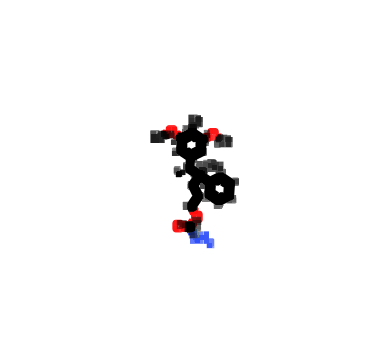 CCOc1cc([C@@H](C)C(CCCOC(N)=O)(c2ccccc2)C(C)(C)C)cc(OCC)c1CC